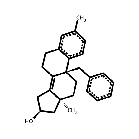 Cc1ccc2c(c1)CCC1=C3C[C@H](O)C[C@]3(C)CC[C@]12Cc1ccccc1